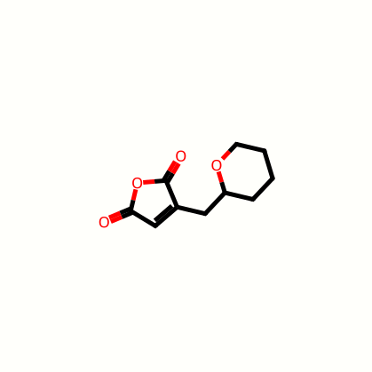 O=C1C=C(CC2CCCCO2)C(=O)O1